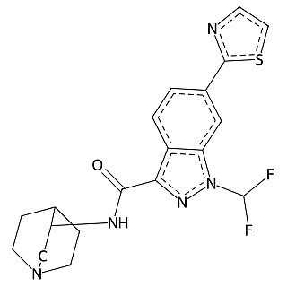 O=C(NC1CN2CCC1CC2)c1nn(C(F)F)c2cc(-c3nccs3)ccc12